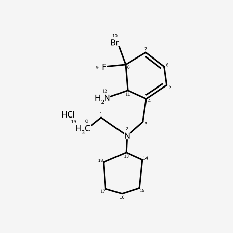 CCN(CC1=CC=CC(F)(Br)C1N)C1CCCCC1.Cl